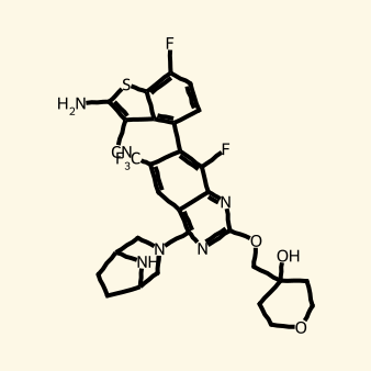 N#Cc1c(N)sc2c(F)ccc(-c3c(C(F)(F)F)cc4c(N5CC6CCC(C5)N6)nc(OCC5(O)CCOCC5)nc4c3F)c12